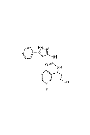 O=C(Nc1cc(-c2ccncc2)[nH]n1)NC(CCO)c1cccc(F)c1